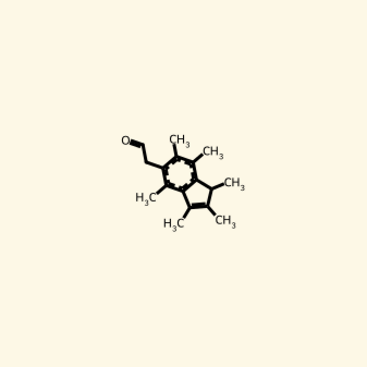 CC1=C(C)C(C)c2c(C)c(C)c(CC=O)c(C)c21